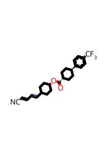 N#CC=C/C=C/C1CCC(OC(=O)[C@H]2CC[C@H](c3ccc(C(F)(F)F)cc3)CC2)CC1